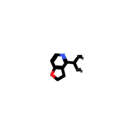 CC(C)c1nccc2c1CCO2